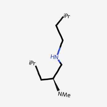 CN[C@H](CNCCC(C)C)CC(C)C